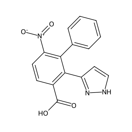 O=C(O)c1ccc([N+](=O)[O-])c(-c2ccccc2)c1-c1cc[nH]n1